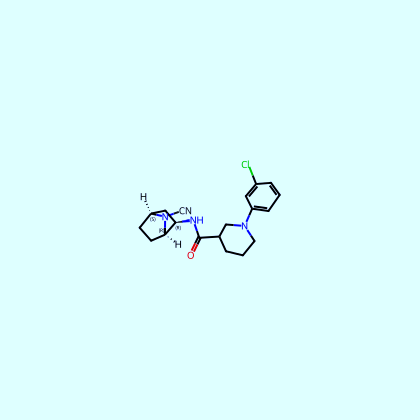 N#CN1[C@H]2CC[C@@H]1[C@H](NC(=O)C1CCCN(c3cccc(Cl)c3)C1)C2